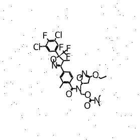 CCOC1=NOC(N(COC(=O)N(C)C)C(=O)c2ccc(C3=NO[C@@](c4cc(Cl)c(F)c(Cl)c4)(C(F)(F)F)C3C)cc2C)C1